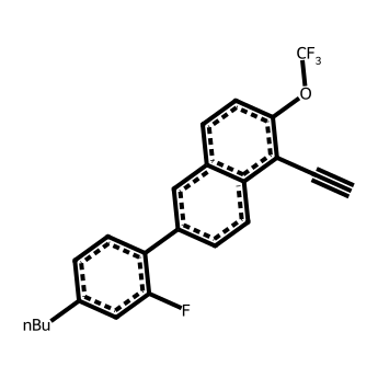 C#Cc1c(OC(F)(F)F)ccc2cc(-c3ccc(CCCC)cc3F)ccc12